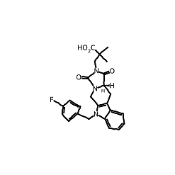 CC(C)(CN1C(=O)[C@@H]2Cc3c(n(Cc4ccc(F)cc4)c4ccccc34)CN2C1=O)C(=O)O